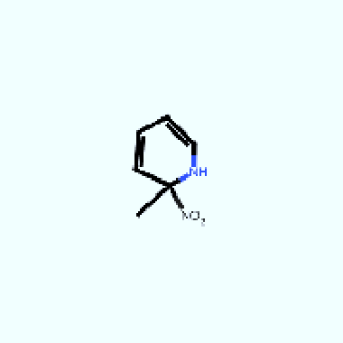 CC1([N+](=O)[O-])C=CC=CN1